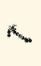 Cc1ncsc1-c1ccc([C@H](C)NC(=O)[C@@H]2C[C@@H](O)CN2C(=O)[C@@H](c2cc(C3CCN(c4cnc(N5CCC(c6sc7nnc(-c8ccccc8O)cc7c6C)CC5)nc4)CC3)no2)C(C)C)cc1